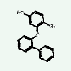 Oc1ccc(O)c(Oc2ccccc2-c2ccccc2)c1